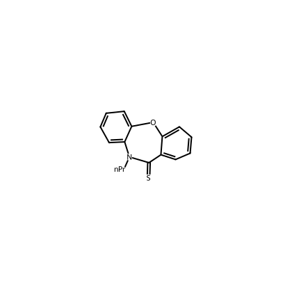 CCCN1C(=S)c2ccccc2Oc2ccccc21